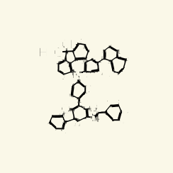 CC1(C)c2ccccc2-c2c(N(c3ccc(-c4cccc5ccccc45)cc3)c3ccc(-c4c5oc(-c6ccccc6)nc5cc5c4oc4ccccc45)cc3)cccc21